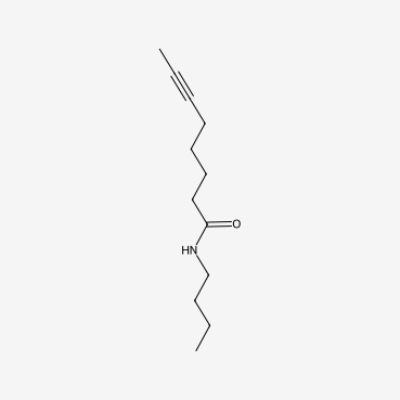 CC#CCCCCC(=O)NCCCC